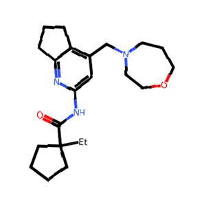 CCC1(C(=O)Nc2cc(CN3CCCOCC3)c3c(n2)CCC3)CCCC1